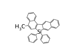 Cc1cc2c(c3ccccc13)-c1cc3ccccc3cc1[Si]2(c1ccccc1)c1ccccc1